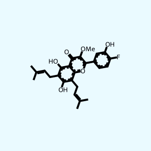 COc1c(-c2ccc(F)c(O)c2)oc2c(CC=C(C)C)c(O)c(CC=C(C)C)c(O)c2c1=O